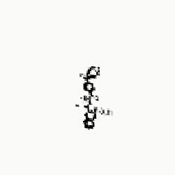 O=C(NC[C@@H](O)[C@@H]1Cc2ccccc2CN1C(=O)O)c1ccc(C(=O)N2C3CCC2COC3)cc1